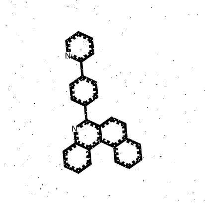 c1ccc(-c2ccc(-c3nc4ccccc4c4c3ccc3ccccc34)cc2)nc1